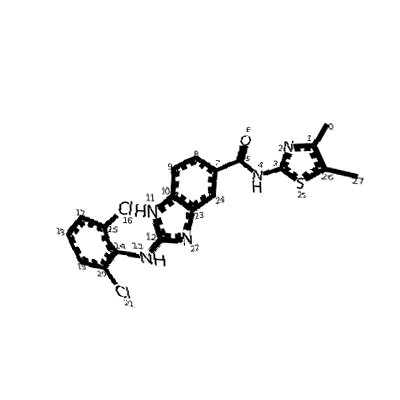 Cc1nc(NC(=O)c2ccc3[nH]c(Nc4c(Cl)cccc4Cl)nc3c2)sc1C